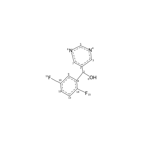 OC(c1cncnc1)c1cc(F)ccc1F